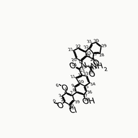 COc1cc(OC)c(-c2cc3cc(C(=O)N(C(N)=O)c4cccc5c4C(=O)c4ccccc4-5)ccc3cc2O)cc1Cl